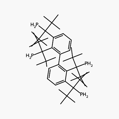 CC(C)(C)C(P)(c1cccc(-c2cccc(C(P)(C(C)(C)C)C(C)(C)C)c2C(P)(C(C)(C)C)C(C)(C)C)c1C(P)(C(C)(C)C)C(C)(C)C)C(C)(C)C